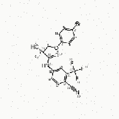 C[C@](O)(COc1ccc(Br)cc1)C(=O)Nc1ccc(C#N)c(C(F)(F)F)c1